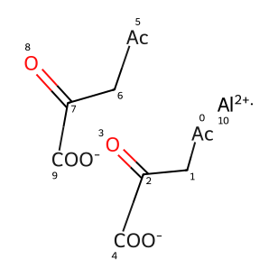 CC(=O)CC(=O)C(=O)[O-].CC(=O)CC(=O)C(=O)[O-].[Al+2]